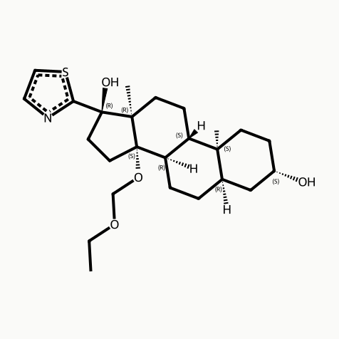 CCOCO[C@]12CC[C@](O)(c3nccs3)[C@@]1(C)CC[C@H]1[C@H]2CC[C@@H]2C[C@@H](O)CC[C@@]21C